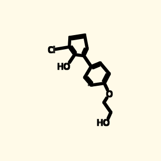 OCCOc1[c]cc(-c2cccc(Cl)c2O)cc1